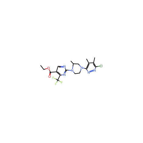 CCOC(=O)c1cnc(N2CCN(c3nnc(Cl)c(C)c3C)CC2C)nc1C(F)(F)F